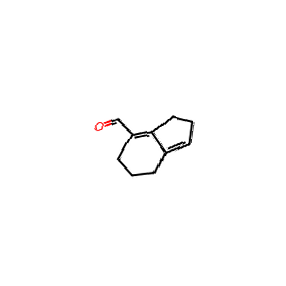 O=CC1=C2CCC=C2CCC1